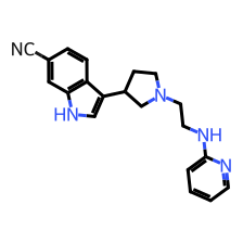 N#Cc1ccc2c(C3CCN(CCNc4ccccn4)C3)c[nH]c2c1